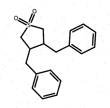 O=S1(=O)CC(Cc2ccccc2)C(Cc2ccccc2)C1